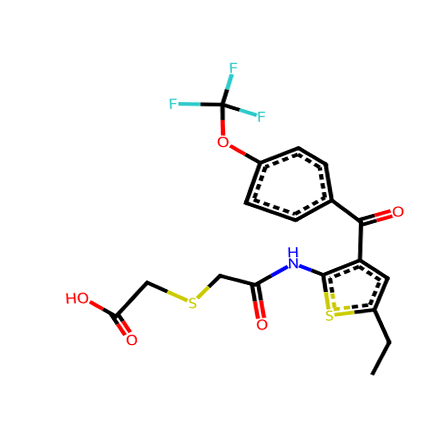 CCc1cc(C(=O)c2ccc(OC(F)(F)F)cc2)c(NC(=O)CSCC(=O)O)s1